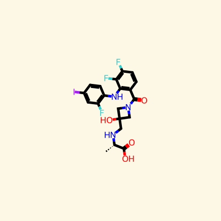 C[C@H](NCC1(O)CN(C(=O)c2ccc(F)c(F)c2Nc2ccc(I)cc2F)C1)C(=O)O